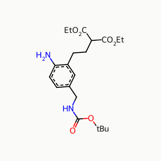 CCOC(=O)C(CCc1cc(CNC(=O)OC(C)(C)C)ccc1N)C(=O)OCC